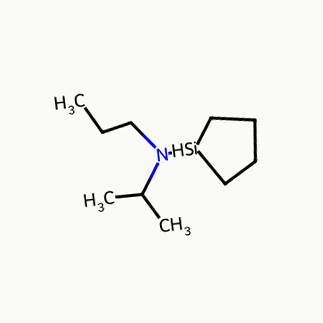 CCCN(C(C)C)[SiH]1CCCC1